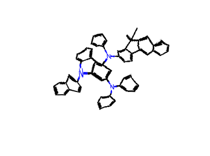 CC1(C)c2cc(N(c3ccccc3)c3cc(N(c4ccccc4)c4ccccc4)cc4c3c3ccccc3n4-c3ccc4ccccc4c3)ccc2-c2cc3ccccc3cc21